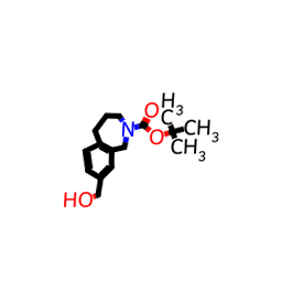 CC(C)(C)OC(=O)N1CCCc2ccc(CO)cc2C1